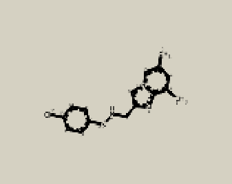 Cc1cc(C)c2nc(CNSc3ccc(Cl)cc3)cn2c1